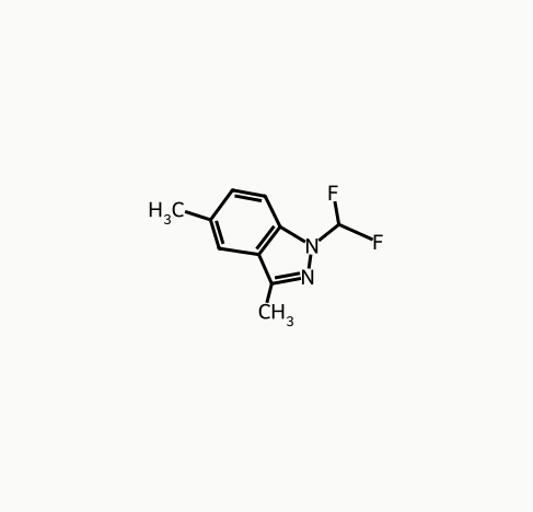 Cc1ccc2c(c1)c(C)nn2C(F)F